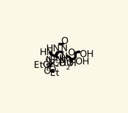 CCOP(=O)(OCC)C(C(=O)O)N(C)C(=N)/C(N)=C1\NCC(=O)N=C1N(N)C1OC(CO)C(O)C1O